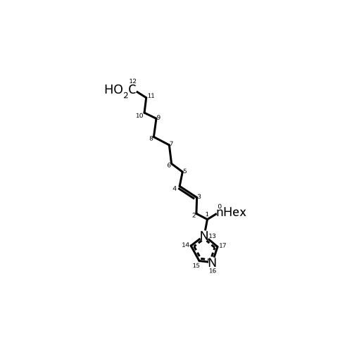 CCCCCCC(CC=CCCCCCCCC(=O)O)n1ccnc1